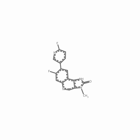 Cn1c(=O)[nH]c2c3cc(-c4ccc(F)nc4)c(F)cc3ncc21